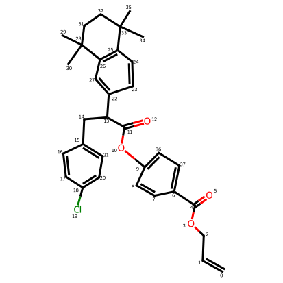 C=CCOC(=O)c1ccc(OC(=O)C(Cc2ccc(Cl)cc2)c2ccc3c(c2)C(C)(C)CCC3(C)C)cc1